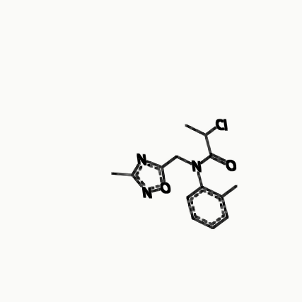 Cc1noc(CN(C(=O)C(C)Cl)c2ccccc2C)n1